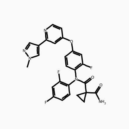 Cn1cc(-c2cc(Oc3ccc(N(C(=O)C4(C(N)=O)CC4)c4ccc(F)cc4F)c(F)c3)ccn2)cn1